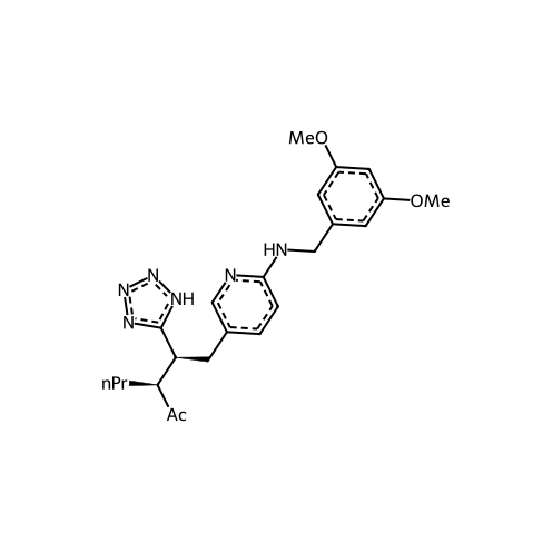 CCC[C@H](C(C)=O)[C@H](Cc1ccc(NCc2cc(OC)cc(OC)c2)nc1)c1nnn[nH]1